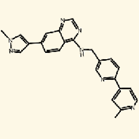 Cc1cc(-c2ccc(CNc3ncnc4cc(-c5cnn(C)c5)ccc34)cn2)ccn1